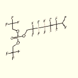 O=P(OCC(F)(F)F)(OCC(F)(F)F)OCC(F)(F)C(F)(F)C(F)(F)C(F)(F)C(F)(F)C(F)F